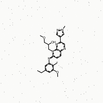 CCc1cc(/N=c2\ccc3ncc(-c4cnn(C)c4)nc3n2CC(O)COC)c(F)c(OC)c1